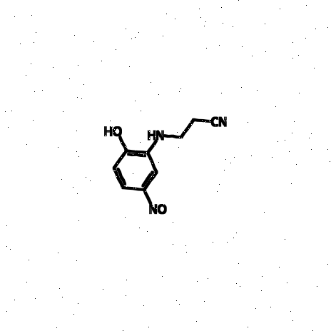 N#CCCNc1cc(N=O)ccc1O